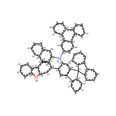 c1ccc2c(c1)-c1ccccc1C21c2ccccc2-c2cc(-c3ccc4c(c3)oc3ccccc34)c(N(c3ccc4ccccc4c3)c3ccc4c5ccccc5c5ccccc5c4c3)cc21